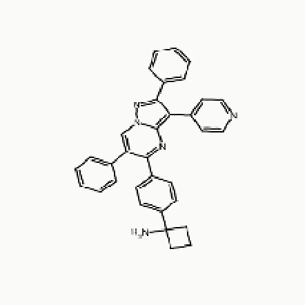 NC1(c2ccc(-c3nc4c(-c5ccncc5)c(-c5ccccc5)nn4cc3-c3ccccc3)cc2)CCC1